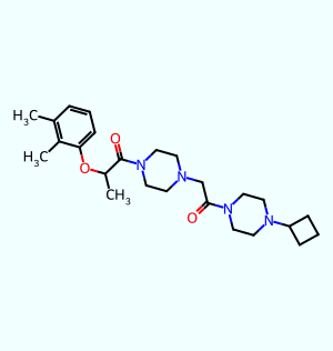 Cc1cccc(OC(C)C(=O)N2CCN(CC(=O)N3CCN(C4CCC4)CC3)CC2)c1C